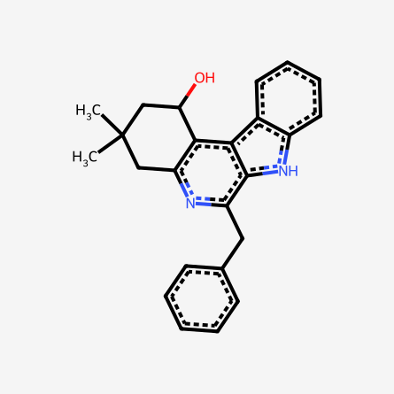 CC1(C)Cc2nc(Cc3ccccc3)c3[nH]c4ccccc4c3c2C(O)C1